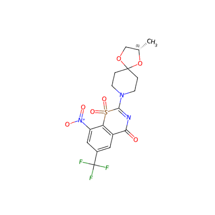 C[C@H]1COC2(CCN(C3=NC(=O)c4cc(C(F)(F)F)cc([N+](=O)[O-])c4S3(=O)=O)CC2)O1